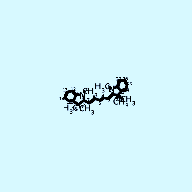 CN1C(=CC=CC=CC2N(C)c3ccccc3C2(C)C)C(C)(C)c2ccccc21